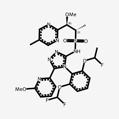 COc1cccc(-c2nnc(NS(=O)(=O)[C@@H](C)[C@H](OC)c3ncc(C)cn3)n2-c2c(OC(C)F)cccc2OC(F)F)n1